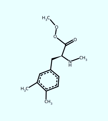 CN[C@@H](Cc1ccc(C)c(C)c1)C(=O)OOC